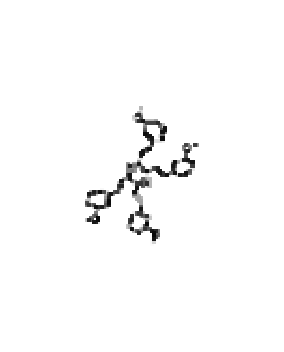 COc1cccc(/C=C/c2nc(/C=C/c3cccc(OC)c3)c(/C=C/c3cccc(OC)c3)nc2/C=C/c2cccc(OC)c2)c1